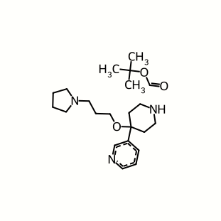 CC(C)(C)OC=O.c1cncc(C2(OCCCN3CCCC3)CCNCC2)c1